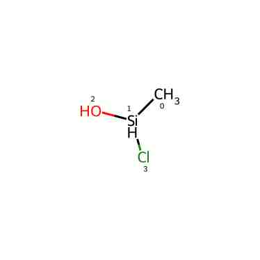 C[SiH](O)Cl